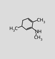 CNC1=CC(C)CC=C1C